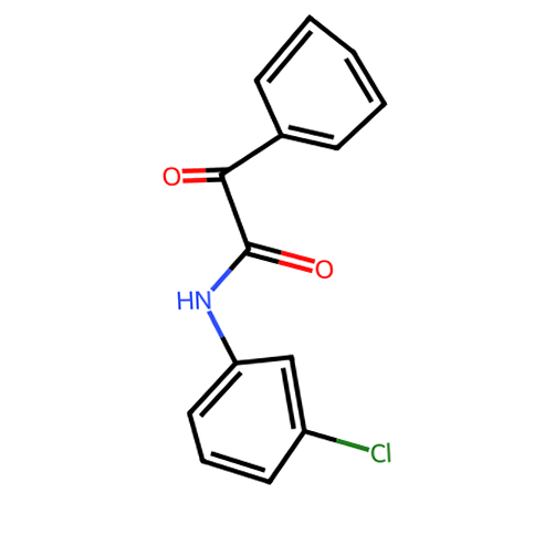 O=C(Nc1cccc(Cl)c1)C(=O)c1ccccc1